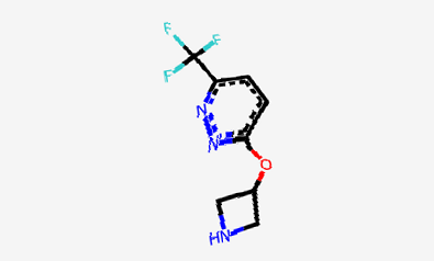 FC(F)(F)c1ccc(OC2CNC2)nn1